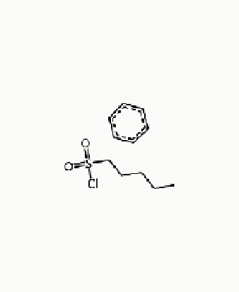 CCCCCS(=O)(=O)Cl.c1ccccc1